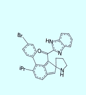 CC(C)c1ccc2c(c1-c1ccc(Br)cc1)=C(C(=O)c1nc3ccccc3[nH]1)C1(C=2)CCCN1